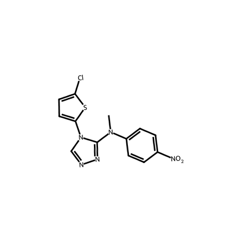 CN(c1ccc([N+](=O)[O-])cc1)c1nncn1-c1ccc(Cl)s1